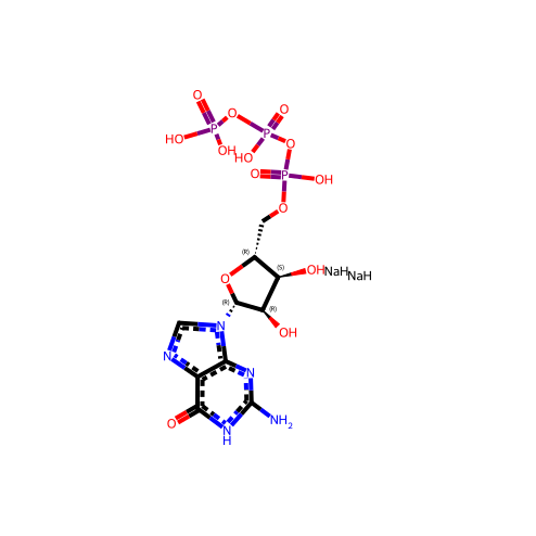 Nc1nc2c(ncn2[C@@H]2O[C@H](COP(=O)(O)OP(=O)(O)OP(=O)(O)O)[C@@H](O)[C@H]2O)c(=O)[nH]1.[NaH].[NaH]